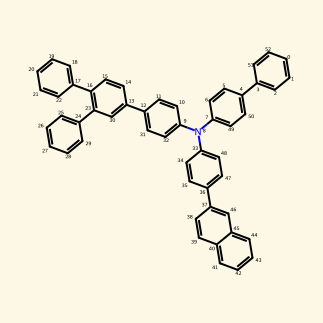 c1ccc(-c2ccc(N(c3ccc(-c4ccc(-c5ccccc5)c(-c5ccccc5)c4)cc3)c3ccc(-c4ccc5ccccc5c4)cc3)cc2)cc1